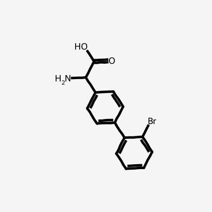 NC(C(=O)O)c1ccc(-c2ccccc2Br)cc1